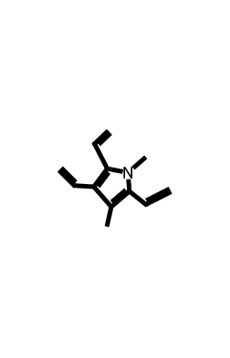 C=Cc1c(C)c(C=C)n(C)c1C=C